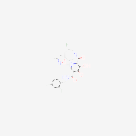 CC1=NO[C@]2(C1)C[C@H](F)[C@H](C)N1C[C@H]2n2cc(C(=O)NCc3ccc(F)cc3F)c(=O)c(O)c2C1=O